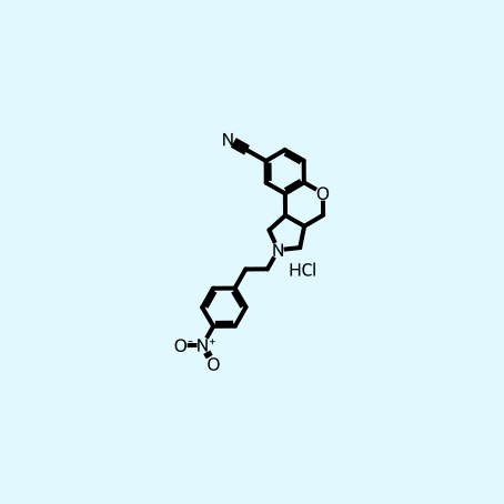 Cl.N#Cc1ccc2c(c1)C1CN(CCc3ccc([N+](=O)[O-])cc3)CC1CO2